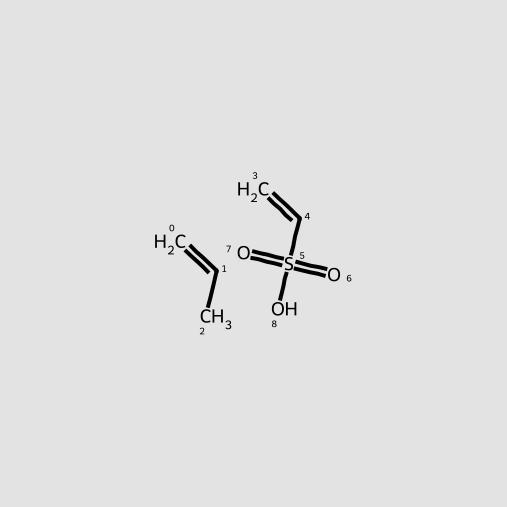 C=CC.C=CS(=O)(=O)O